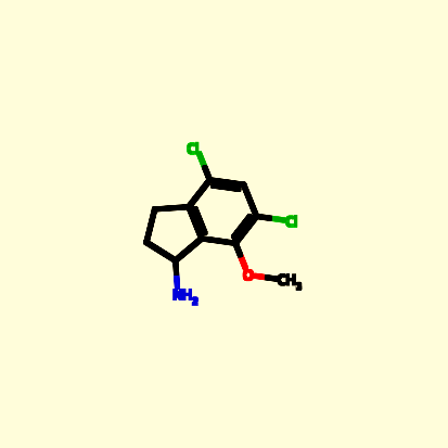 COc1c(Cl)cc(Cl)c2c1C(N)CC2